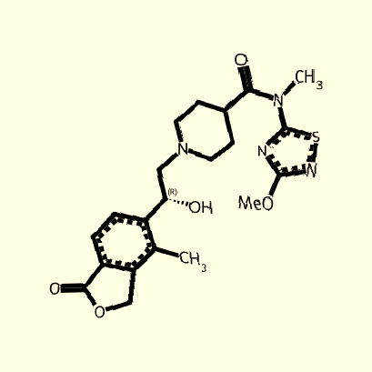 COc1nsc(N(C)C(=O)C2CCN(C[C@H](O)c3ccc4c(c3C)COC4=O)CC2)n1